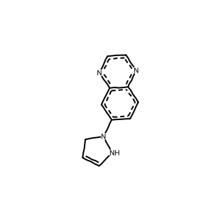 C1=CNN(c2ccc3nccnc3c2)C1